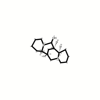 OC1[C@@H]2C[C@@H](CN3CCCC[C@H]23)[C@@H]2CCCCN12